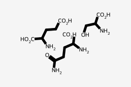 NC(=O)CCC(N)C(=O)O.NC(CCC(=O)O)C(=O)O.NC(CO)C(=O)O